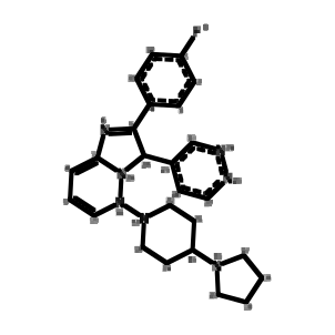 Fc1ccc(C2=NC3=CC=CN(N4CCC(N5CCCC5)CC4)N3C2c2ccnnc2)cc1